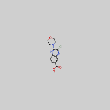 COC(=O)c1ccc2nc(N3CCOCC3)c(Cl)nc2c1